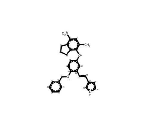 Cc1cc([N+](=O)[O-])c2c(c1Oc1ccc(OCc3ccccc3)c(/C=C/c3ccoc3)c1)CCC2